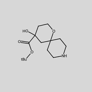 CC(C)(C)OC(=O)C1(O)CCOC2(CCNCC2)C1